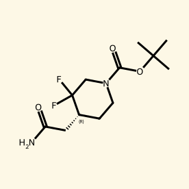 CC(C)(C)OC(=O)N1CC[C@H](CC(N)=O)C(F)(F)C1